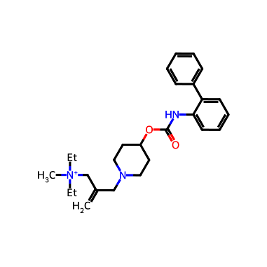 C=C(CN1CCC(OC(=O)Nc2ccccc2-c2ccccc2)CC1)C[N+](C)(CC)CC